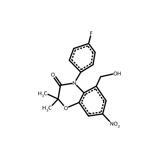 CC1(C)Oc2cc([N+](=O)[O-])cc(CO)c2N(c2ccc(F)cc2)C1=O